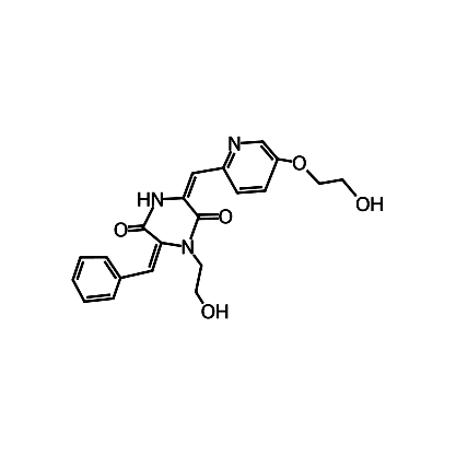 O=c1[nH]/c(=C/c2ccc(OCCO)cn2)c(=O)n(CCO)/c1=C/c1ccccc1